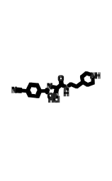 Cl.N#Cc1ccc(-c2nc(C(=O)NCCC3CCNCC3)no2)cc1